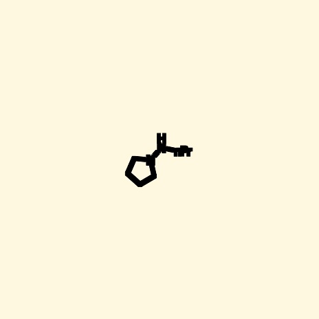 CCCNN1CCCC1